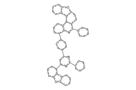 c1ccc(-c2nc(-c3ccc(-c4cccc5c4nc(-c4ccccc4)c4ccc6oc7ccccc7c6c45)cc3)cc(-c3cccc4oc5ccccc5c34)n2)cc1